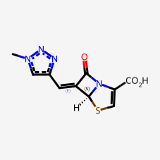 Cn1cc(/C=C2\C(=O)N3C(C(=O)O)=CS[C@@H]23)nn1